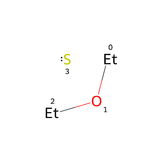 CCOCC.[S]